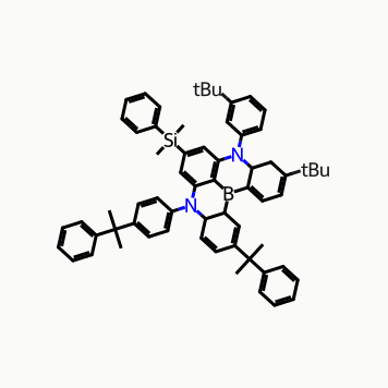 CC(C)(C)C1=CC=C2B3c4c(cc([Si](C)(C)c5ccccc5)cc4N(c4ccc(C(C)(C)c5ccccc5)cc4)C4C=CC(C(C)(C)c5ccccc5)=CC34)N(c3cccc(C(C)(C)C)c3)C2C1